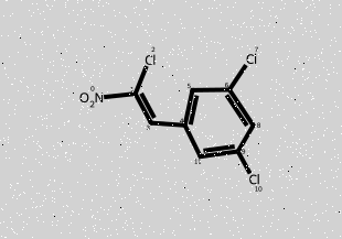 O=[N+]([O-])C(Cl)=Cc1cc(Cl)cc(Cl)c1